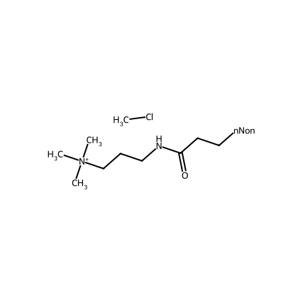 CCCCCCCCCCCC(=O)NCCC[N+](C)(C)C.CCl